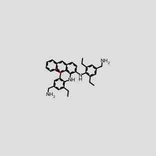 CCc1cc(CN)cc(CC)c1Nc1ccc2cc3ccccc3cc2c1Nc1c(CC)cc(CN)cc1CC